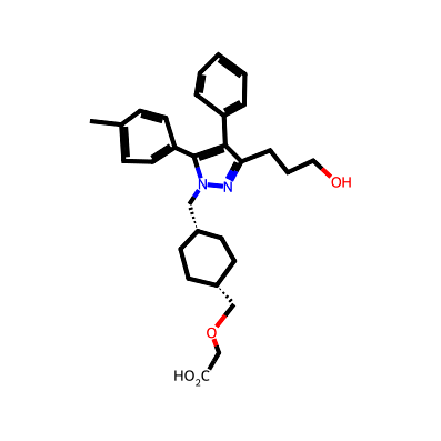 Cc1ccc(-c2c(-c3ccccc3)c(CCCO)nn2C[C@H]2CC[C@@H](COCC(=O)O)CC2)cc1